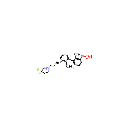 Cc1c(C=CCCN2CCC(F)(F)C2)cccc1-c1cccc(CO)c1C